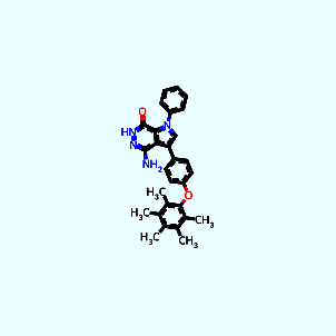 Cc1c(C)c(C)c(Oc2ccc(-c3cn(-c4ccccc4)c4c(=O)[nH]nc(N)c34)cc2)c(C)c1C